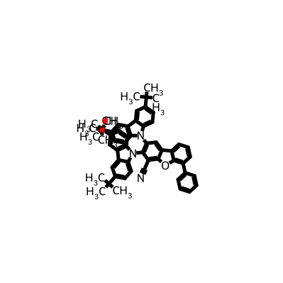 CC(C)(C)c1ccc2c(c1)c1cc(C(C)(C)C)ccc1n2-c1cc2c(oc3c(-c4ccccc4)cccc32)c(C#N)c1-n1c2ccc(C(C)(C)C)cc2c2cc(C(C)(C)C)ccc21